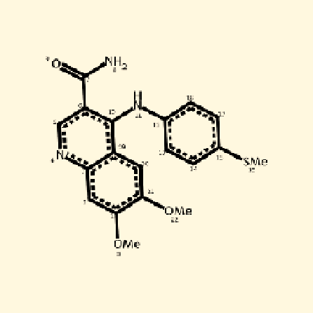 COc1cc2ncc(C(N)=O)c(Nc3ccc(SC)cc3)c2cc1OC